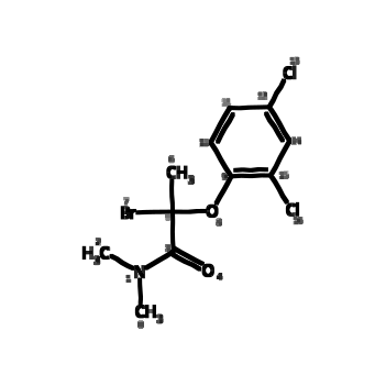 CN(C)C(=O)C(C)(Br)Oc1ccc(Cl)cc1Cl